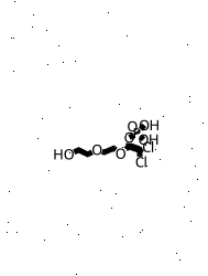 O=P(O)(O)OC(OCCOCCO)=C(Cl)Cl